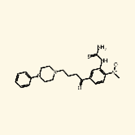 C[S+]([O-])c1ccc(C(=O)CCCN2CCN(c3ccccc3)CC2)cc1NC(N)=S